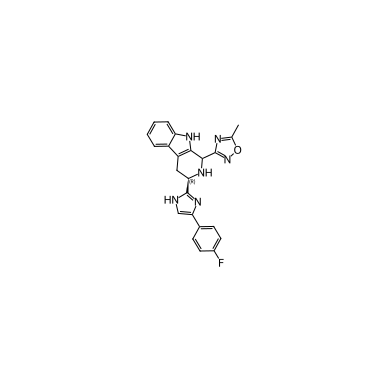 Cc1nc(C2N[C@@H](c3nc(-c4ccc(F)cc4)c[nH]3)Cc3c2[nH]c2ccccc32)no1